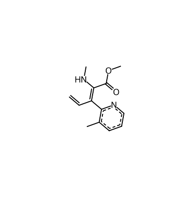 C=C/C(=C(\NC)C(=O)OC)c1ncccc1C